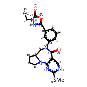 CSc1ncc2c(n1)N1CCCC1CN(c1cccc(-c3nn(CC(C)=O)c(=O)o3)c1)C2=O